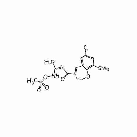 CSc1cc(Cl)cc2c1OCCC(C(=O)N=C(N)NOS(C)(=O)=O)=C2